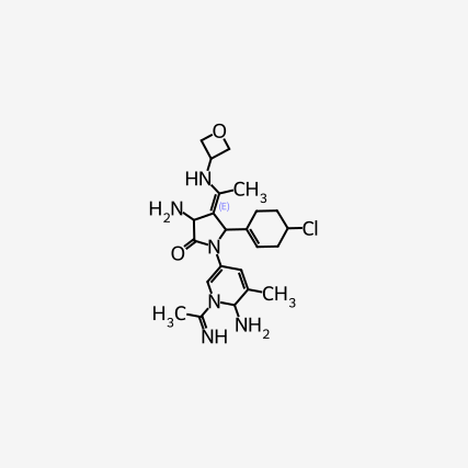 CC(=N)N1C=C(N2C(=O)C(N)/C(=C(/C)NC3COC3)C2C2=CCC(Cl)CC2)C=C(C)C1N